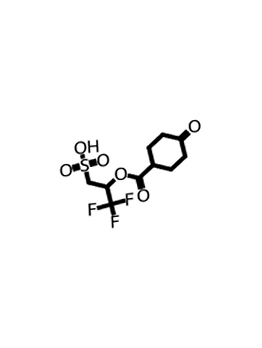 O=C1CCC(C(=O)OC(CS(=O)(=O)O)C(F)(F)F)CC1